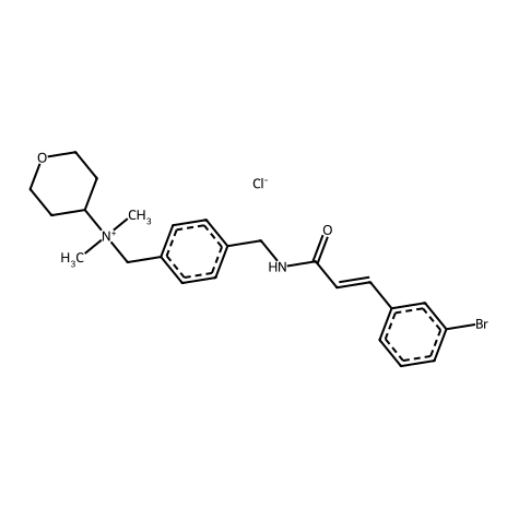 C[N+](C)(Cc1ccc(CNC(=O)/C=C/c2cccc(Br)c2)cc1)C1CCOCC1.[Cl-]